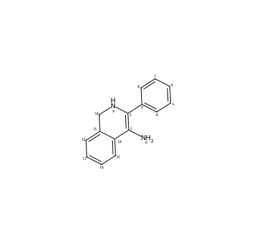 NC1=C(c2ccccc2)NCc2ccccc21